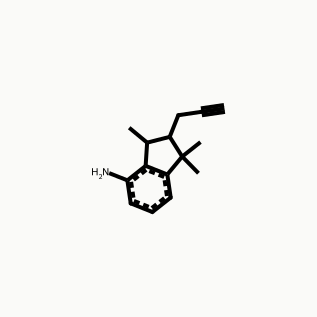 C#CCC1C(C)c2c(N)cccc2C1(C)C